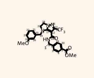 COC(=O)c1ccc([C@H](C)NC(=O)c2c(C(F)(F)F)nn3c2N(Cc2cccc(OC)c2)CC3)cc1